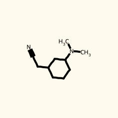 CN(C)C1CCCC(CC#N)C1